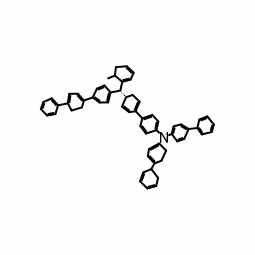 CC1CC=CC=C1[C@@H](c1ccc(C2=CC=C(c3ccccc3)CC2)cc1)C1C=CC(c2ccc(N(C3=CC=C(C4C=CC=CC4)CC3)c3ccc(-c4ccccc4)cc3)cc2)=CC1